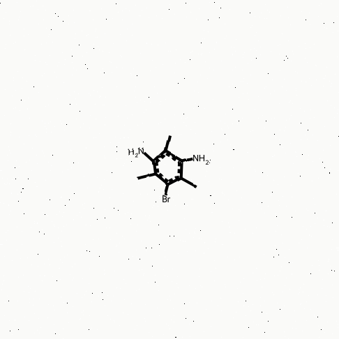 Cc1c(N)c(C)c(Br)c(C)c1N